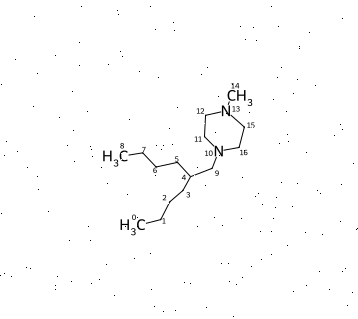 CCCCC(CCCC)CN1CCN(C)CC1